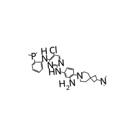 CN(C)C1CC2(CCN(c3ccc(Nc4ncc(Cl)c(Nc5ccccc5P(C)C)n4)cc3N)CC2)C1